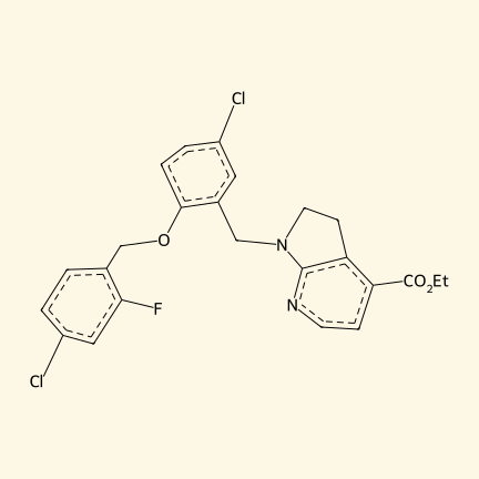 CCOC(=O)c1ccnc2c1CCN2Cc1cc(Cl)ccc1OCc1ccc(Cl)cc1F